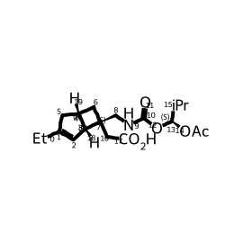 CCC1=C[C@@H]2[C@H](C1)C[C@]2(CNC(=O)O[C@H](OC(C)=O)C(C)C)CC(=O)O